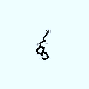 O=C(CCS)Nc1ccc2ncccc2c1